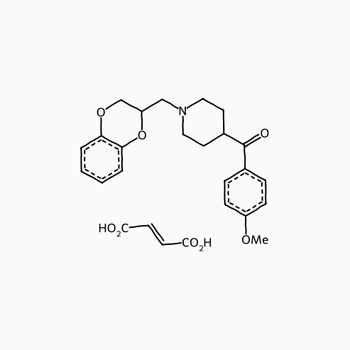 COc1ccc(C(=O)C2CCN(CC3COc4ccccc4O3)CC2)cc1.O=C(O)/C=C/C(=O)O